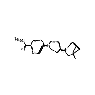 CNC(=O)c1ccc(N2CCC(N3CC4CC4(C)C3)CC2)cn1